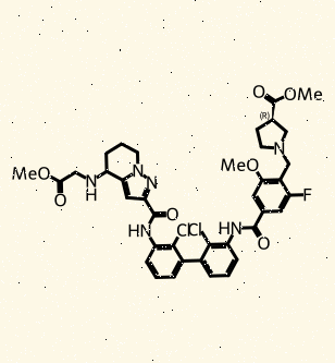 COC(=O)CNC1CCCn2nc(C(=O)Nc3cccc(-c4cccc(NC(=O)c5cc(F)c(CN6CC[C@@H](C(=O)OC)C6)c(OC)c5)c4Cl)c3Cl)cc21